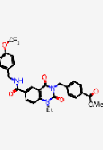 CCn1c(=O)n(Cc2ccc(C(=O)OC)cc2)c(=O)c2cc(C(=O)NCc3ccc(OC(F)(F)F)cc3)ccc21